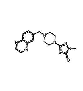 Cn1nc(N2CCN(Cc3ccc4nccnc4c3)CC2)sc1=O